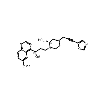 COc1ccc2nccc([C@H](O)CC[C@@H]3CCN(CC#Cc4cnco4)C[C@@H]3C(=O)O)c2c1